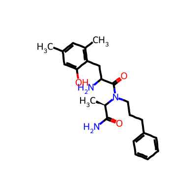 Cc1cc(C)c(CC(N)C(=O)N(CCCc2ccccc2)[C@H](C)C(N)=O)c(O)c1